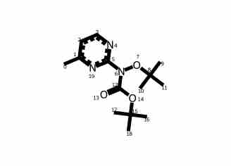 Cc1ccnc(N(OC(C)(C)C)C(=O)OC(C)(C)C)n1